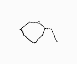 CC[C]1CCCCO1